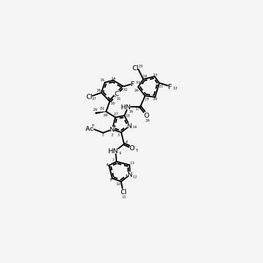 CC(=O)Cn1c(C(=O)Nc2ccc(Cl)nc2)nc(NC(=O)c2cc(F)cc(Cl)c2)c1[C@@H](C)c1cc(F)ccc1Cl